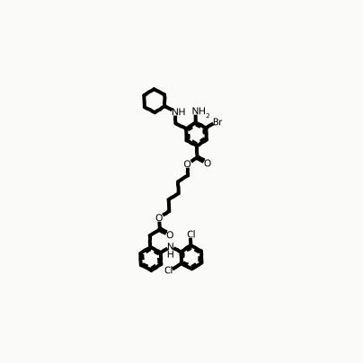 Nc1c(Br)cc(C(=O)OCCCCCOC(=O)Cc2ccccc2Nc2c(Cl)cccc2Cl)cc1CNC1CCCCC1